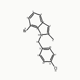 Cc1cc2cccc(Br)c2n1Cc1ccc(Cl)cc1